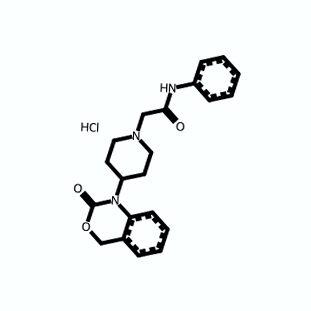 Cl.O=C(CN1CCC(N2C(=O)OCc3ccccc32)CC1)Nc1ccccc1